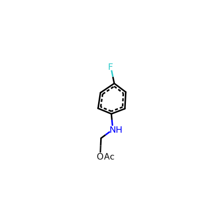 CC(=O)OCNc1ccc(F)cc1